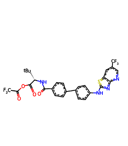 CC(C)(C)[C@H](NC(=O)c1ccc(-c2ccc(Nc3nc4ncc(C(F)(F)F)cc4s3)cc2)cc1)C(=O)OC(=O)C(F)(F)F